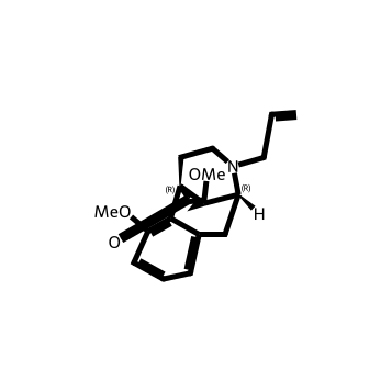 C=CCN1CC[C@]23CC(=O)CCC2(OC)[C@H]1Cc1cccc(OC)c13